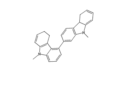 CN1C2=CC=CCC2c2ccc(-c3cccc4c3c3c(n4C)C=CCC3)cc21